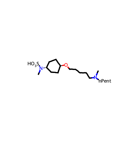 CCCCCN(C)CCCCCO[C@H]1CC[C@H](N(C)S(=O)(=O)O)CC1